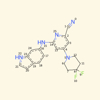 N#Cc1cc(N2CCC(F)(F)CC2)cc(Nc2ccc3cc[nH]c3c2)n1